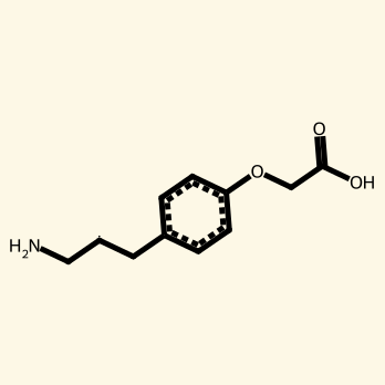 NC[CH]Cc1ccc(OCC(=O)O)cc1